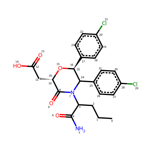 CCCC(C(N)=O)N1C(=O)[C@H](CC(=O)O)O[C@@H](c2ccc(Cl)cc2)C1c1ccc(Cl)cc1